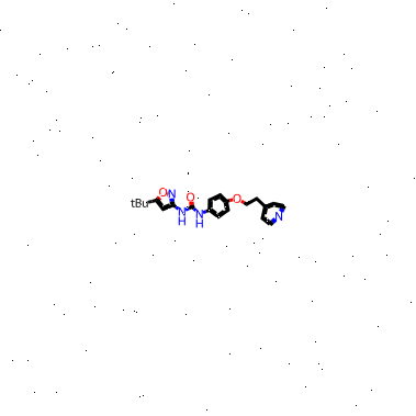 CC(C)(C)c1cc(NC(=O)Nc2ccc(OCCc3ccncc3)cc2)no1